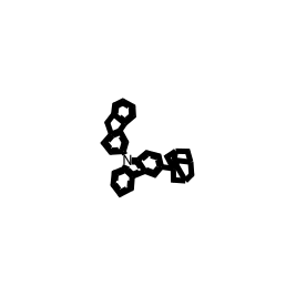 c1ccc2c(c1)Cc1ccc(-n3c4ccccc4c4cc(C56CC7CC(CC(C7)C5)C6)ccc43)cc1-2